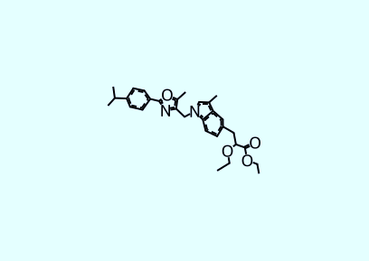 CCOC(=O)C(Cc1ccc2c(c1)c(C)cn2Cc1nc(-c2ccc(C(C)C)cc2)oc1C)OCC